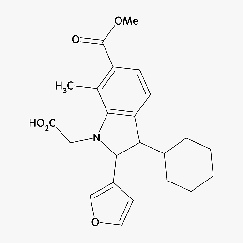 COC(=O)c1ccc2c(c1C)N(CC(=O)O)C(c1ccoc1)C2C1CCCCC1